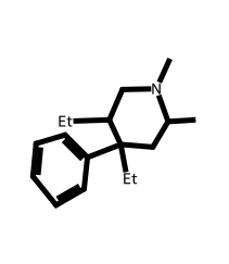 CCC1CN(C)C(C)CC1(CC)c1ccccc1